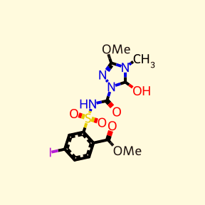 COC(=O)c1ccc(I)cc1S(=O)(=O)NC(=O)N1N=C(OC)N(C)C1O